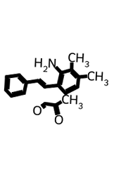 CC(=O)C=O.Cc1ccc(C=Cc2ccccc2)c(N)c1C